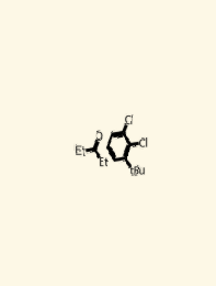 CC(C)(C)c1cccc(Cl)c1Cl.CCC(=O)CC